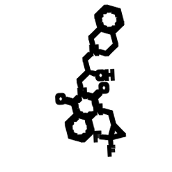 O=c1c2ccccc2n(CC2CC2(F)F)c(=O)n1C[C@H](O)CN1CCc2ccccc2C1